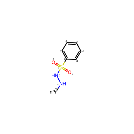 CCCNNS(=O)(=O)c1ccccc1